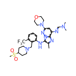 Cc1nc2c(/N=C/N(C)C)cc(N3CCOCC3)nn2c1Nc1cccc(C(F)(F)F)c1CN1CCC(S(C)(=O)=O)CC1